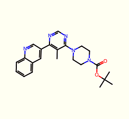 Cc1c(-c2cnc3ccccc3c2)ncnc1N1CCN(C(=O)OC(C)(C)C)CC1